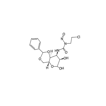 O=NN(CCCl)C(=O)N[C@@H]1[C@@H]2OC(c3ccccc3)OC[C@H]2OC(O)[C@@H]1O